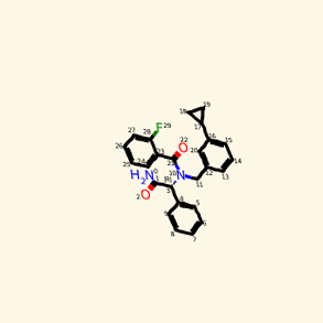 NC(=O)[C@@H](c1ccccc1)N(Cc1cccc(C2CC2)c1)C(=O)c1ccccc1F